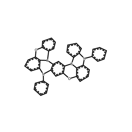 c1ccc(N2c3ccccc3B3c4cc5c(cc4Oc4cccc2c43)N(c2ccccc2)c2cccc3c2B5c2ccccc2O3)cc1